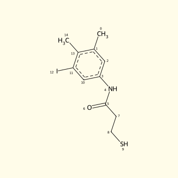 Cc1cc(NC(=O)CCS)cc(I)c1C